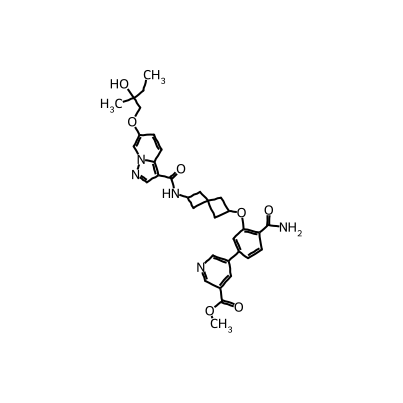 CCC(C)(O)COc1ccc2c(C(=O)NC3CC4(C3)CC(Oc3cc(-c5cncc(C(=O)OC)c5)ccc3C(N)=O)C4)cnn2c1